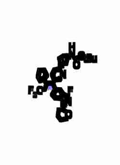 CC(C)(C)OC(=O)N[C@@H]1CCN(c2ccc(/C(=C(/CC(F)(F)F)c3ccccc3)c3ccc4c(c3)c(F)nn4C3CCCCO3)cn2)C1